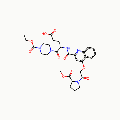 CCOC(=O)N1CCN(C(=O)[C@H](CCC(=O)O)NC(=O)c2cc(OCC(=O)N3CCC[C@H]3C(=O)OC)c3ccccc3n2)CC1